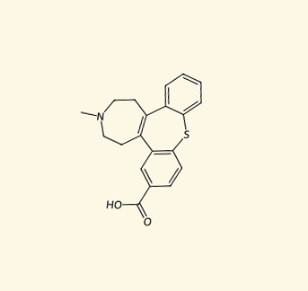 CN1CCC2=C(CC1)c1cc(C(=O)O)ccc1Sc1ccccc12